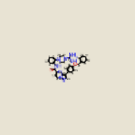 N=C(N)N1CCN(c2ccccc2NC(=O)c2ccn3ncc(-c4ccc(OCc5ccccc5)cc4)c3n2)CC1